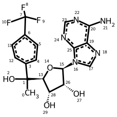 CC(O)(c1ccc(C(F)(F)F)cc1)[C@H]1O[C@@H](n2cnc3c(N)ncnc32)[C@H](O)[C@@H]1O